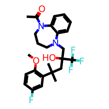 COc1ccc(F)cc1C(C)(C)CC(O)(CN1CCCN(C(C)=O)c2ccccc21)C(F)(F)F